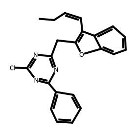 CC/C=C\c1c(Cc2nc(Cl)nc(-c3ccccc3)n2)oc2ccccc12